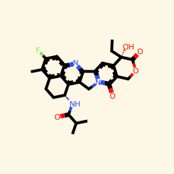 CC[C@@]1(O)C(=O)OCc2c1cc1n(c2=O)Cc2c-1nc1cc(F)c(C)c3c1c2[C@H](NC(=O)C(C)C)CC3